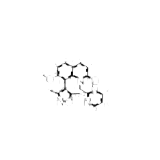 COc1ccc2ccc(=O)n(Cc3ncccn3)c2c1-c1c(C)noc1C